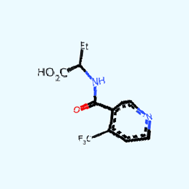 CCC(NC(=O)c1cnccc1C(F)(F)F)C(=O)O